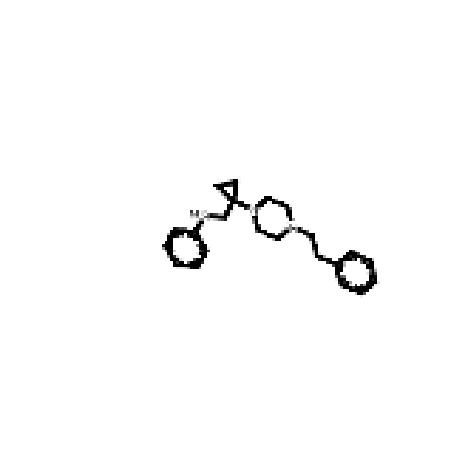 c1ccc(CCN2CCN(C3(CNc4ccccc4)CC3)CC2)cc1